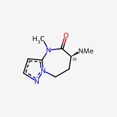 CN[C@H]1CCn2nccc2N(C)C1=O